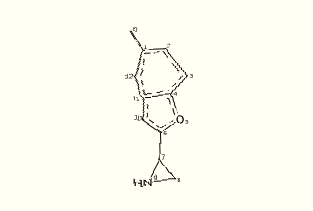 Cc1ccc2oc(C3CN3)cc2c1